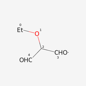 CCOC([C]=O)C=O